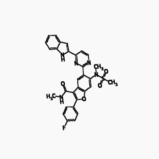 CNC(=O)c1c(-c2ccc(F)cc2)oc2cc(N(C)S(C)(=O)=O)c(-c3nccc(-c4cc5ccccc5[nH]4)n3)cc12